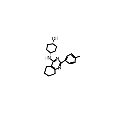 Cc1ccc(-c2nc3c(c(N[C@H]4CC[C@H](O)CC4)n2)CCCC3)cc1